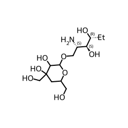 CC[C@@H](O)[C@@H](O)[C@@H](N)COC1OC(CO)CC(O)(CO)C1O